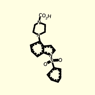 O=C(O)N1CCN(c2cccc3c2ccn3S(=O)(=O)c2ccccc2)CC1